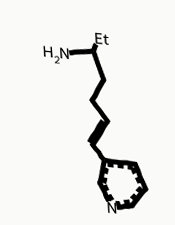 CCC(N)CCC=Cc1cccnc1